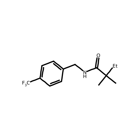 CCC(C)(C)C(=O)NCc1ccc(C(F)(F)F)cc1